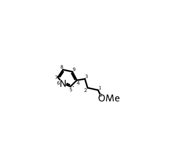 COCCCc1[c]nccc1